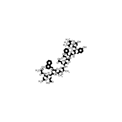 CN[C@H](C)C(=O)N[C@@H](CC(N)=O)C(=O)N[C@@H](CCC(=O)O)C(=O)N[C@@H](Cc1cccc2ccccc12)C(=O)N[C@H](C)C(=O)N[C@@H](C)C(=O)N[C@@H](CCC(=O)O)C(=O)N[C@@H](CC(=O)O)C(=O)N[C@@H](Cc1ccccc1)C(=O)N[C@@H](Cc1ccc(O)cc1)C(=O)N[C@@H](CC(=O)O)C(=O)N[C@H](C(C)=O)C(C)(C)C